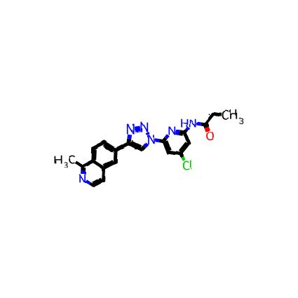 C[CH]C(=O)Nc1cc(Cl)cc(-n2cc(-c3ccc4c(C)nccc4c3)nn2)n1